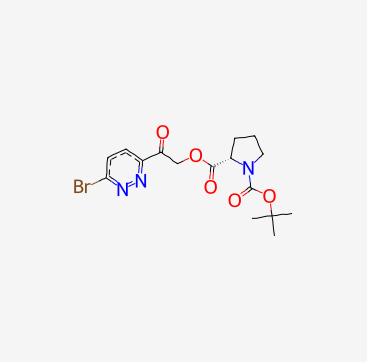 CC(C)(C)OC(=O)N1CCC[C@H]1C(=O)OCC(=O)c1ccc(Br)nn1